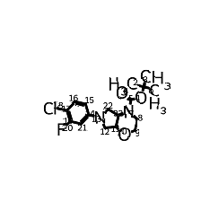 CC(C)(C)OC(=O)N1CCOC2CN(c3ccc(Cl)c(F)c3)CC21